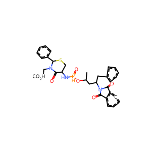 CC(CC(Cc1ccccc1)N1C(=O)c2ccccc2C1=O)O[PH](=O)NC1CSC(c2ccccc2)N(CC(=O)O)C1=O